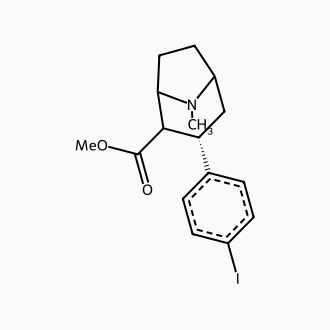 COC(=O)C1C2CCC(C[C@@H]1c1ccc(I)cc1)N2C